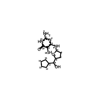 Nc1nc(NC2CCC(C(O)C3CCCC3)O2)c(S)c(=O)[nH]1